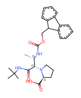 C[C@H](NC(=O)OCC1c2ccccc2-c2ccccc21)[C@@H](C(=O)NC(C)(C)C)N1CCC[C@H]1C(=O)O